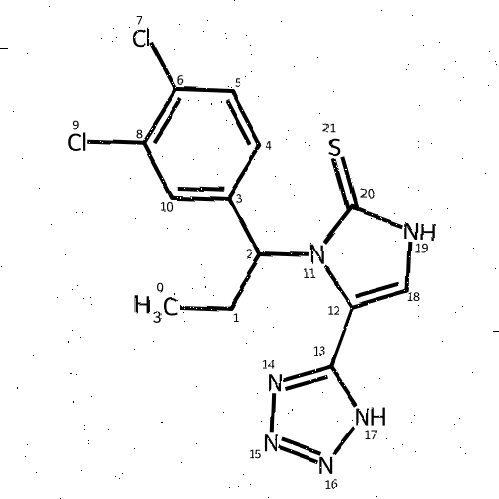 CCC(c1ccc(Cl)c(Cl)c1)n1c(-c2nnn[nH]2)c[nH]c1=S